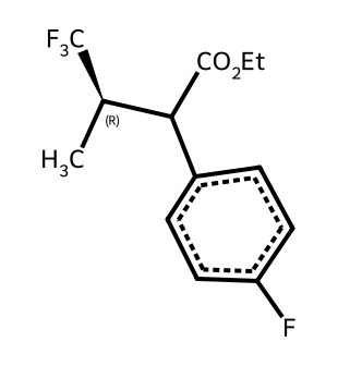 CCOC(=O)C(c1ccc(F)cc1)[C@@H](C)C(F)(F)F